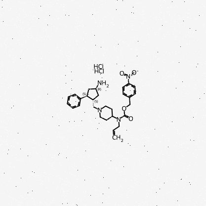 C=CCN(C(=O)OCc1ccc([N+](=O)[O-])cc1)C1CCN(C[C@H]2C[C@H](N)C[C@@H]2c2ccccc2)CC1.Cl.Cl